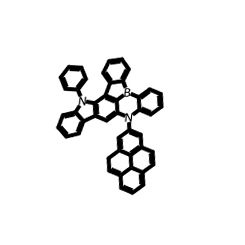 C1=CC2=CCc3cc(N4c5ccccc5B5c6ccccc6-c6c5c4cc4c5ccccc5n(-c5ccccc5)c64)cc4c3C2C(=C1)C=C4